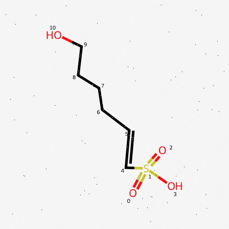 O=S(=O)(O)/C=C/CCCCO